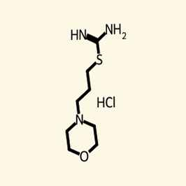 Cl.N=C(N)SCCCN1CCOCC1